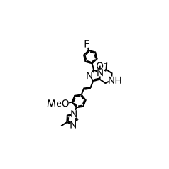 COc1cc(C=CC2=C3CNCC(C)[N+]3([O-])C(c3ccc(F)cc3)=N2)ccc1-n1cnc(C)c1